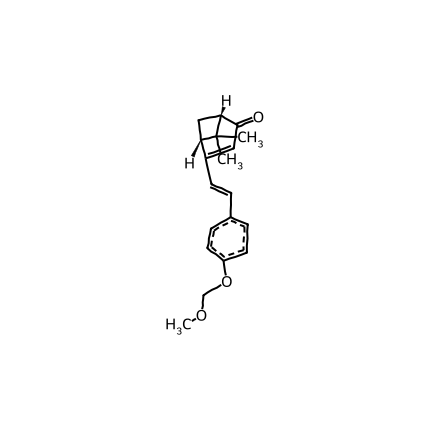 COCOc1ccc(/C=C/C2=CC(=O)[C@H]3C[C@@H]2C3(C)C)cc1